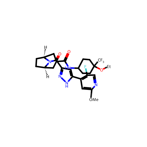 CCOC1(C(F)(F)F)CCC(NC(=O)C2C[C@H]3CC[C@@H](C2)N3C(=O)c2cc(-c3cc(OC)ncc3F)[nH]n2)CC1